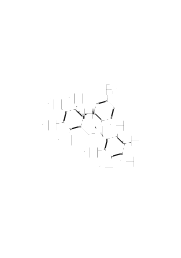 [2H]c1c([2H])c([2H])c(CN(c2ccc(Br)cc2)c2c([2H])c([2H])c([2H])c([2H])c2[2H])c([2H])c1[2H]